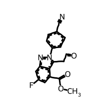 COC(=O)c1cc(F)cc2nn(-c3ccc(C#N)cc3)c(CC=O)c12